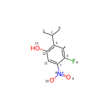 CC(C)c1cc(F)c([N+](=O)[O-])cc1O